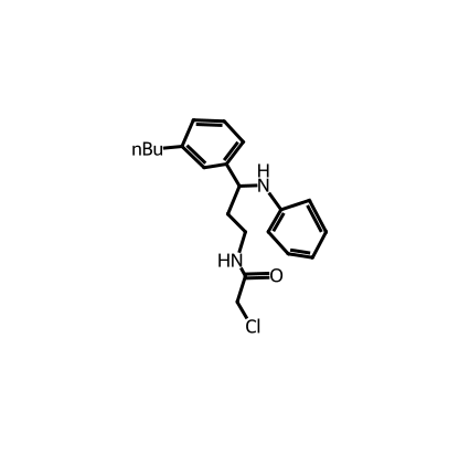 CCCCc1cccc(C(CCNC(=O)CCl)Nc2ccccc2)c1